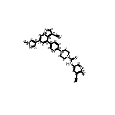 C#Cc1cc(NC(=S)N2CCN(c3ccc(-c4cc(-c5cnn(C)c5)cn5ncc(C#N)c45)cn3)CC2)cnc1F